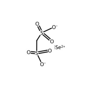 O=S(=O)([O-])CS(=O)(=O)[O-].[Se+2]